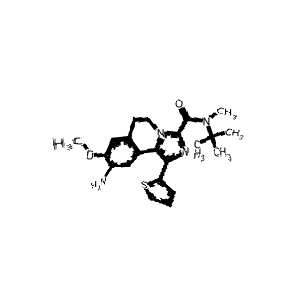 COc1cc2c(cc1N)-c1c(-c3cccs3)nc(C(=O)N(C)C(C)(C)C)n1CC2